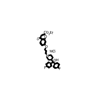 CCOC(=O)c1cc(=O)c2ccc(OCCCN3CCC(C(O)(c4ccc(F)cc4)c4ccc(F)cc4)CC3)cc2o1.Cl